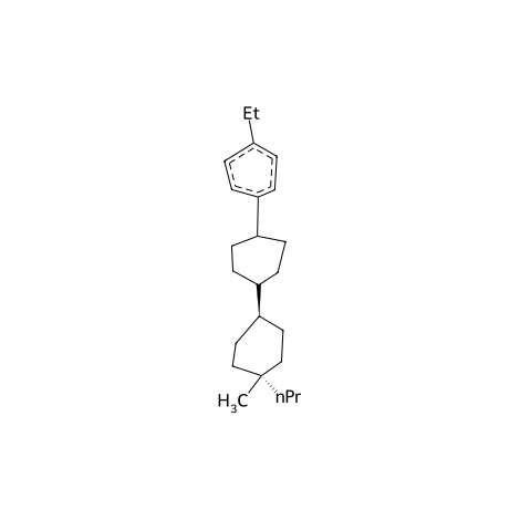 CCC[C@]1(C)CC[C@@H](C2CCC(c3ccc(CC)cc3)CC2)CC1